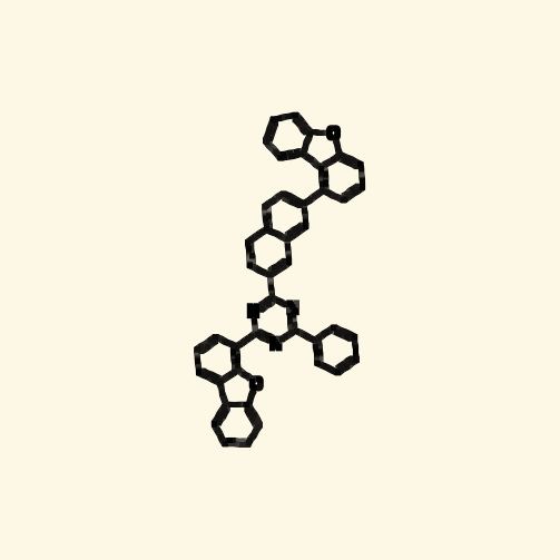 c1ccc(-c2nc(-c3ccc4ccc(-c5cccc6oc7ccccc7c56)cc4c3)nc(-c3cccc4c3oc3ccccc34)n2)cc1